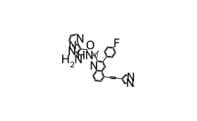 C[C@H](NC(=O)c1c(N)nn2cccnc12)c1nc2cccc(C#Cc3cnn(C)c3)c2cc1-c1ccc(F)cc1